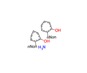 CCCCCCCCCc1ccccc1O.CCCCCCCCCc1ccccc1O.N